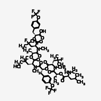 CN[C@@H](CC(C)C)C(=O)O[C@H](C)C(=O)N(C)[C@@H](CC(C)(C)F)C(=O)O[C@H](Cc1ccc(OC(F)(F)F)cc1)C(=O)N(C)[C@H](CC(C)C)C(=O)O[C@H](C)C(=O)N(C)[C@@H](CC(C)(C)F)C(=O)O[C@H](Cc1ccc(OC(F)(F)F)cc1)C(=O)O.Cl